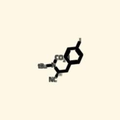 CC(C)(C)N(C(=O)O)[C@H](C#N)Cc1ccc(I)cc1